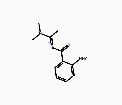 CC(=O)Nc1ccccc1C(=S)/N=C(\C)N(C)C